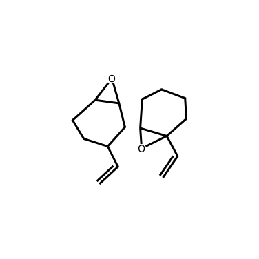 C=CC12CCCCC1O2.C=CC1CCC2OC2C1